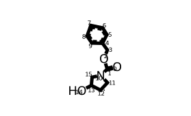 O=C(OCc1ccccc1)N1C[CH]C(O)C1